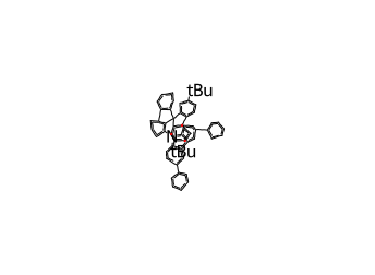 CC(C)(C)c1ccc2c(c1)C1(c3cc(C(C)(C)C)ccc3-2)c2ccccc2-c2cccc(-n3c4ccc(-c5ccccc5)cc4c4cc(-c5ccccc5)ccc43)c21